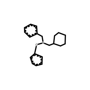 c1ccc(CN(CC2CCCCC2)Oc2ccccc2)cc1